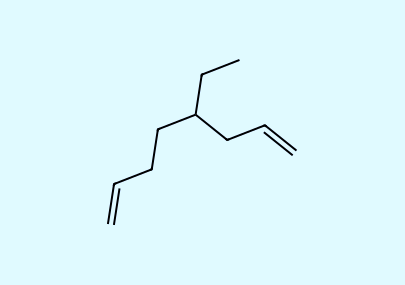 C=CCCC(CC)CC=C